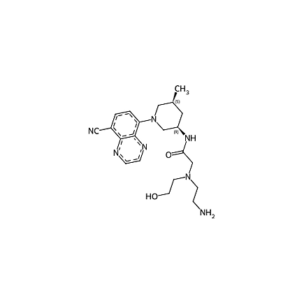 C[C@H]1C[C@@H](NC(=O)CN(CCN)CCO)CN(c2ccc(C#N)c3nccnc23)C1